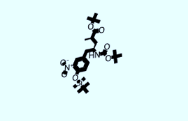 C[C@H](C[C@H](Cc1ccc(O[Si](C)(C)C(C)(C)C)c([N+](=O)[O-])c1)NC(=O)OC(C)(C)C)C(=O)OC(C)(C)C